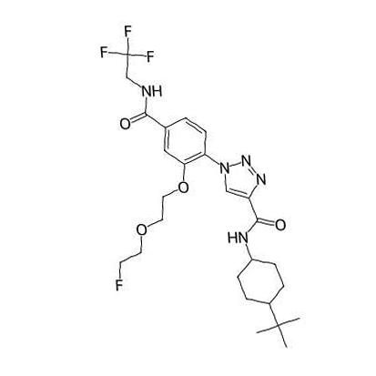 CC(C)(C)C1CCC(NC(=O)c2cn(-c3ccc(C(=O)NCC(F)(F)F)cc3OCCOCCF)nn2)CC1